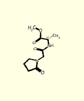 COC(=O)[C@H](C)NC(=O)CN1CCCC1=O